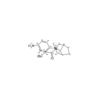 CN(C(=O)OC(C)(C)C)C1C2CCC1CN(c1ccc(N)nc1)C2